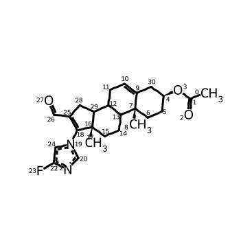 CC(=O)O[C@H]1CC[C@@]2(C)C(=CCC3C2CC[C@]2(C)C(n4cnc(F)c4)=C(C=O)CC32)C1